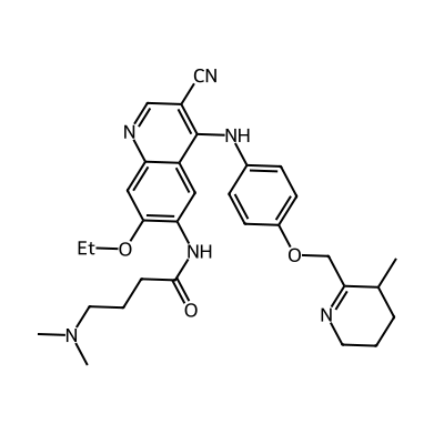 CCOc1cc2ncc(C#N)c(Nc3ccc(OCC4=NCCCC4C)cc3)c2cc1NC(=O)CCCN(C)C